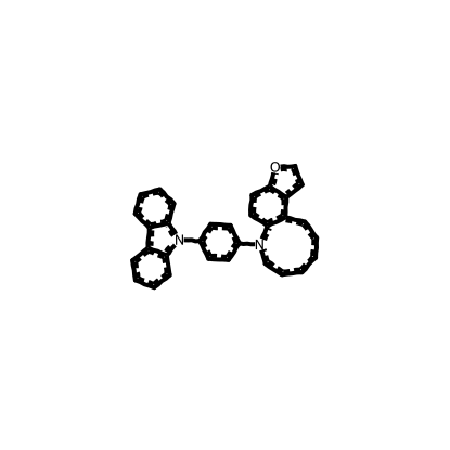 c1cccn(-c2ccc(-n3c4ccccc4c4ccccc43)cc2)c2ccc3occc3c2cc1